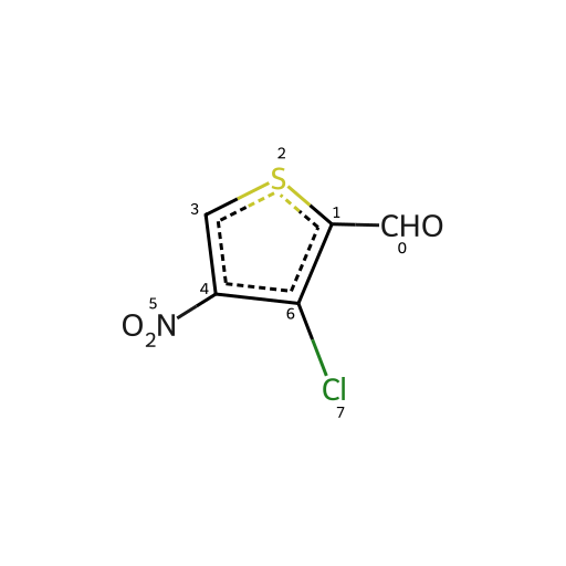 O=Cc1scc([N+](=O)[O-])c1Cl